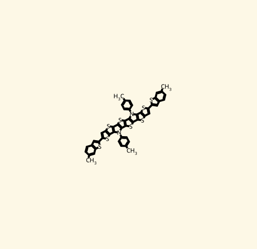 Cc1ccc(-n2c3c4sc(-c5cc6ccc(C)cc6s5)cc4sc3c3sc4c(sc5c6sc7cc(-c8cc9ccc(C)cc9s8)sc7c6n(-c6ccc(C)cc6)c54)c32)cc1